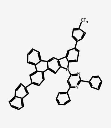 FC(F)(F)c1ccc(-c2ccc3c(c2)c2cc4c5ccccc5c5cc(-c6ccc7ccccc7c6)ccc5c4cc2n3-c2cc(-c3ccccc3)nc(-c3ccccc3)n2)cc1